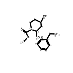 CC(C)(C)OC(=O)N1CCC(O)CC1C(=O)O.NCc1ccccc1